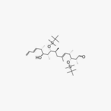 C=CC=C[C@H](C)[C@H](O)[C@@H](C)[C@H](O[Si](C)(C)C(C)(C)C)[C@@H](C)CC(C)=C[C@H](C)[C@@H](O[Si](C)(C)C(C)(C)C)[C@@H](C)C=O